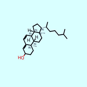 CC(C)CCCC(C)[C@H]1CC[C@H]2[C@@H]3C=CC4=CC(O)CC[C@]4(C)[C@H]3CC[C@]12C